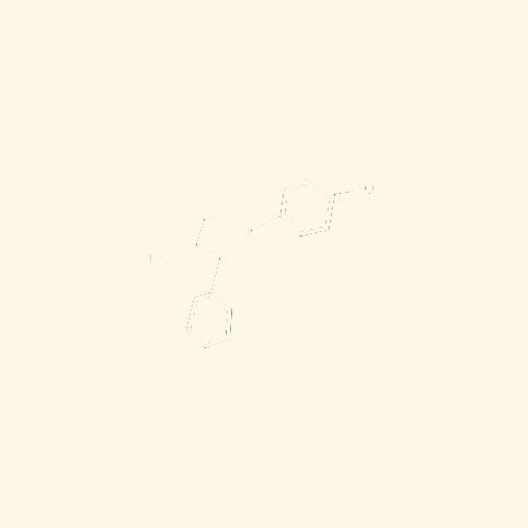 COc1ccc(COC(C)C(Cc2ccccc2)C(=O)O)cc1